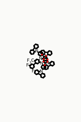 Fc1cc(F)cc(-c2cc(-n3c4c(c5ccc(-n6c7ccccc7c7ccccc76)cc53)C=CC(n3c5ccccc5c5ccccc53)C4)c(-n3c4cc(-n5c6ccccc6c6ccccc65)ccc4c4ccc(-n5c6ccccc6c6ccccc65)cc43)cc2C(F)(F)F)c1